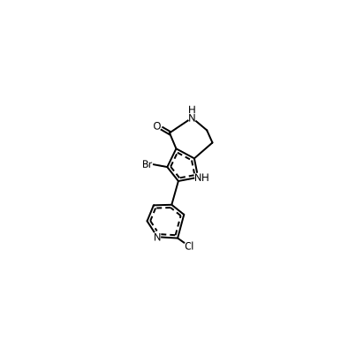 O=C1NCCc2[nH]c(-c3ccnc(Cl)c3)c(Br)c21